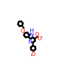 COC(=O)c1cc(-c2ccc(OC)cc2)nc2c1[nH]c1cc(OCc3ccccc3)ccc12